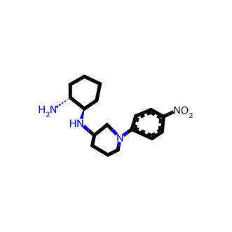 N[C@@H]1CCCC[C@H]1NC1CCCN(c2ccc([N+](=O)[O-])cc2)C1